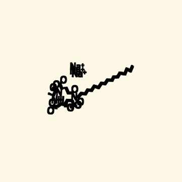 CCCCCCCCCCCCCCCCCC(=O)N(C(=O)CC[C@@H](NC(=O)[C@H](C)N)C(=O)[O-])C(CCCCC(=O)[O-])C(=O)[O-].[Na+].[Na+].[Na+]